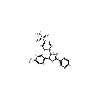 NS(=O)(=O)c1ccc(N2N=C(c3ccccc3)CC2c2ccc(Br)cc2)cc1